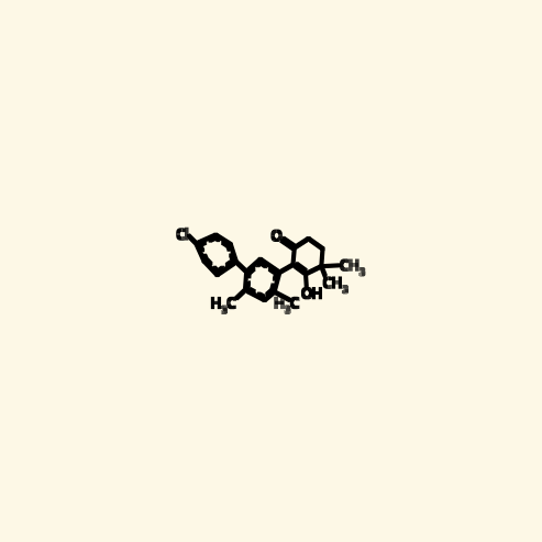 Cc1cc(C)c(-c2ccc(Cl)cc2)cc1C1=C(O)C(C)(C)CCC1=O